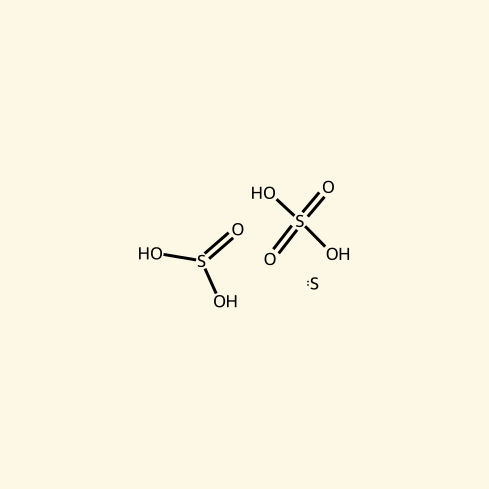 O=S(=O)(O)O.O=S(O)O.[S]